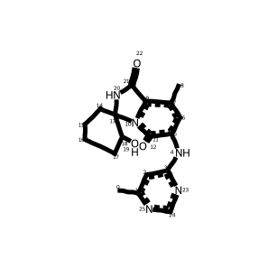 Cc1cc(Nc2cc(C)c3n(c2=O)C2(CCCCC2O)NC3=O)ncn1